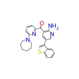 Nc1ncc(-c2csc3ccccc23)cc1C(=O)c1cccc(N2CCCCCC2)n1